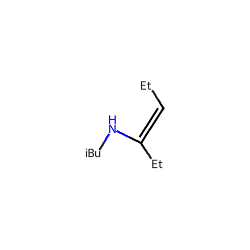 CCC=C(CC)NC(C)CC